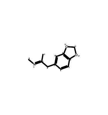 C/N=C(\C)Cc1ccc2c(c1)OCO2